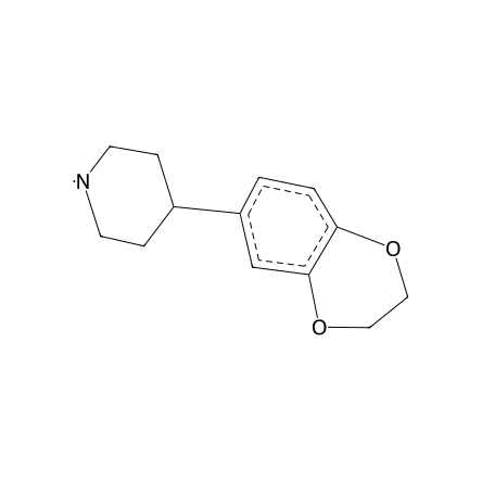 c1cc2c(cc1C1CC[N]CC1)OCCO2